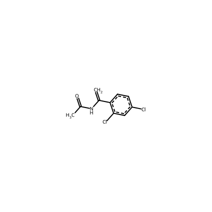 C=C(NC(C)=O)c1ccc(Cl)cc1Cl